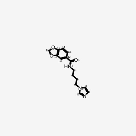 O=C(NCCCCn1ccnc1)c1ccc2c(c1)OCO2